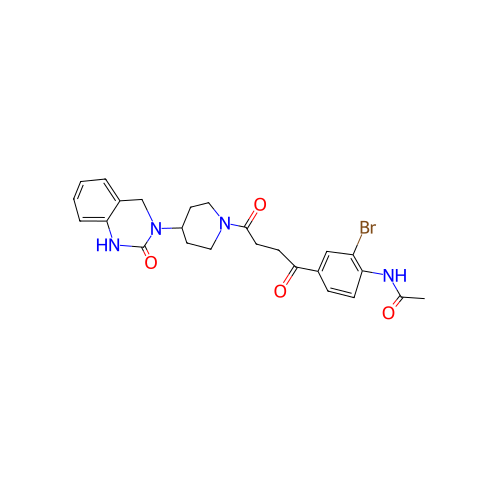 CC(=O)Nc1ccc(C(=O)CCC(=O)N2CCC(N3Cc4ccccc4NC3=O)CC2)cc1Br